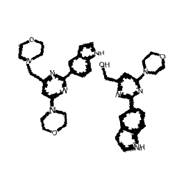 OCc1cc(N2CCOCC2)nc(-c2ccc3[nH]ccc3c2)n1.c1cc2cc(-c3nc(CN4CCOCC4)cc(N4CCOCC4)n3)ccc2[nH]1